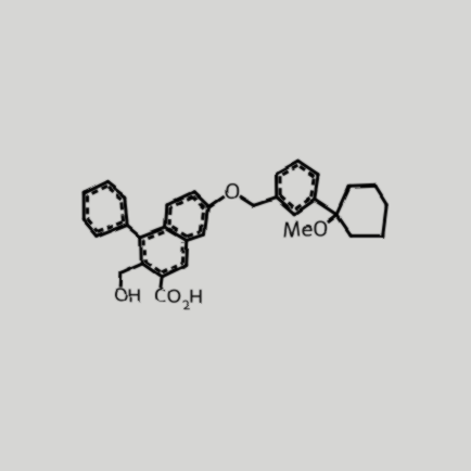 COC1(c2cccc(COc3ccc4c(-c5ccccc5)c(CO)c(C(=O)O)cc4c3)c2)CCCCC1